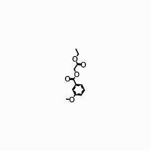 CCOC(=O)COC(=O)c1cccc(OC)c1